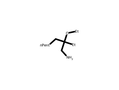 CCCCCCC(CC)(CN)OCC